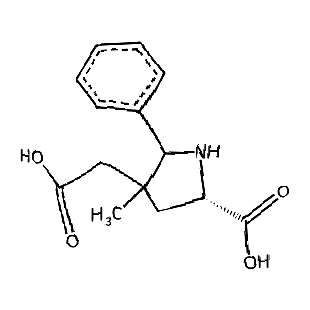 CC1(CC(=O)O)C[C@@H](C(=O)O)NC1c1ccccc1